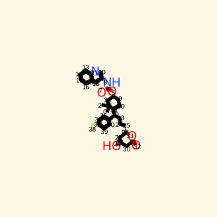 CC1(C)CC(OC(=O)Nc2cnc3ccccc3c2)CC=C1C(CCC[C@H]1C[C@H](O)CC(=O)O1)c1ccc(F)cc1